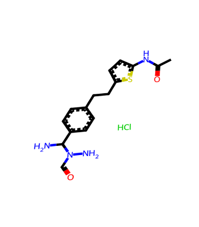 CC(=O)Nc1ccc(CCc2ccc(C(N)N(N)C=O)cc2)s1.Cl